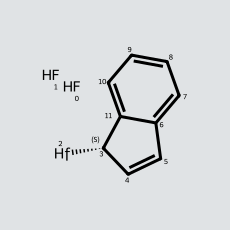 F.F.[Hf][C@H]1C=Cc2ccccc21